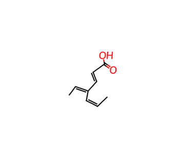 C\C=C/C(/C=C/C(=O)O)=C\C